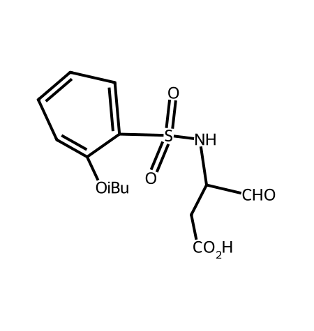 CC(C)COc1ccccc1S(=O)(=O)NC(C=O)CC(=O)O